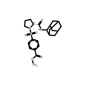 COC(=O)c1ccc(S(=O)(=O)N2CCC[C@@H]2C(=O)NC2C3CC4CC(C3)CC2C4)cc1